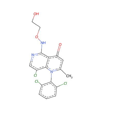 Cc1cc(=O)c2c(NOCCO)ncc(Cl)c2n1-c1c(Cl)cccc1Cl